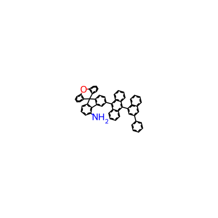 Nc1cccc2c1-c1cc(-c3c4ccccc4c(-c4cc(-c5ccccc5)cc5ccccc45)c4ccccc34)ccc1C21c2ccccc2Oc2ccccc21